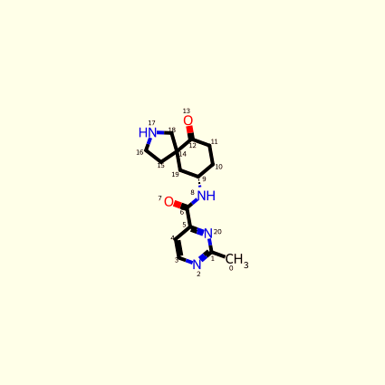 Cc1nccc(C(=O)N[C@H]2CCC(=O)C3(CCNC3)C2)n1